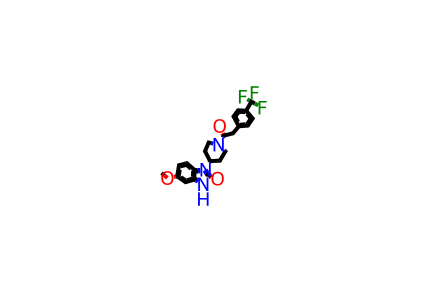 COc1ccc2c(c1)[nH]c(=O)n2C1CCN(C(=O)Cc2ccc(C(F)(F)F)cc2)CC1